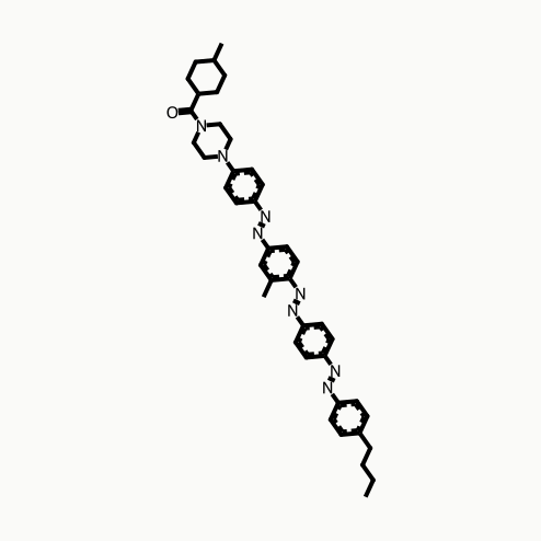 CCCCc1ccc(N=Nc2ccc(N=Nc3ccc(N=Nc4ccc(N5CCN(C(=O)C6CCC(C)CC6)CC5)cc4)cc3C)cc2)cc1